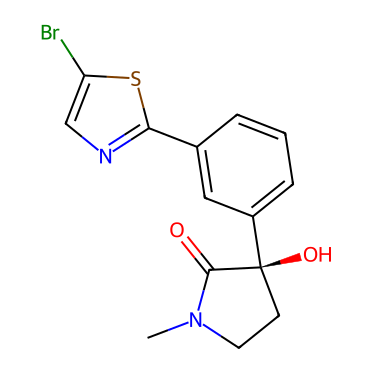 CN1CC[C@@](O)(c2cccc(-c3ncc(Br)s3)c2)C1=O